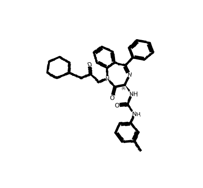 Cc1cccc(NC(=O)N[C@@H]2N=C(c3ccccc3)c3ccccc3N(CC(=O)CC3CCCCC3)C2=O)c1